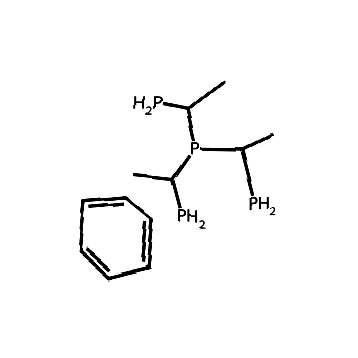 CC(P)P(C(C)P)C(C)P.c1ccccc1